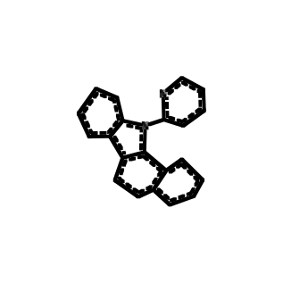 c1ccc(-n2c3ccccc3c3ccc4ccccc4c32)nc1